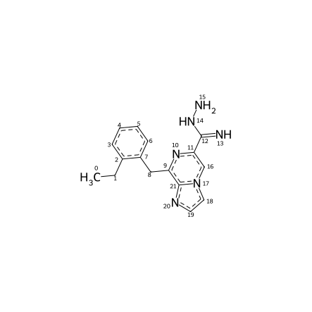 CCc1ccccc1Cc1nc(C(=N)NN)cn2ccnc12